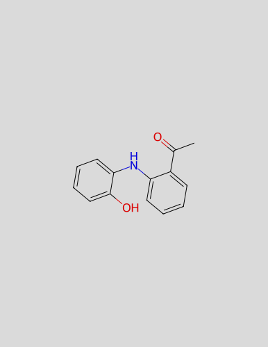 CC(=O)c1ccccc1Nc1ccccc1O